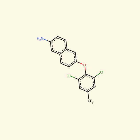 Nc1ccc2cc(Oc3c(Cl)cc(C(F)(F)F)cc3Cl)ccc2c1